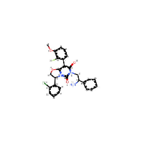 COc1cccc(-c2c3n(c(=O)n(CC(N)c4ccccc4)c2=O)C(c2ccccc2Cl)CO3)c1F